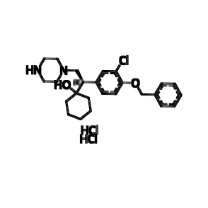 Cl.Cl.OC1([C@@H](CN2CCNCC2)c2ccc(OCc3ccccc3)c(Cl)c2)CCCCC1